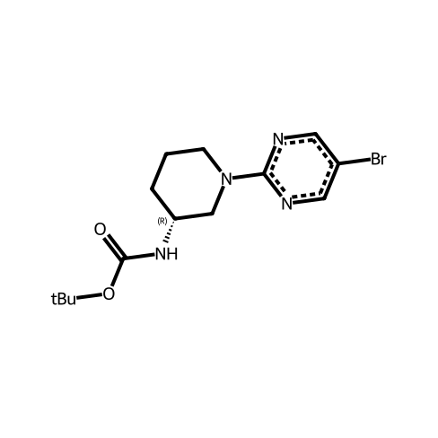 CC(C)(C)OC(=O)N[C@@H]1CCCN(c2ncc(Br)cn2)C1